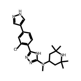 CN(c1nnc(-c2ccc(-c3cn[nH]c3)cc2Cl)[nH]1)C1CC(C)(C)NC(C)(C)C1